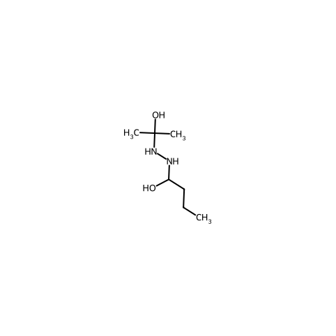 CCCC(O)NNC(C)(C)O